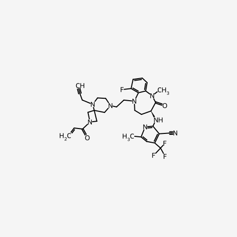 C#CCN1CCN(CCN2CC[C@H](Nc3nc(C)cc(C(F)(F)F)c3C#N)C(=O)N(C)c3cccc(F)c32)CC12CN(C(=O)C=C)C2